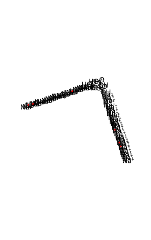 O=S(O)O.O=S(O)O.O=S(O)O.[Na+].[Na+].[Na+].[Na+].[Na+].[Na+].[Na+].[Na+].[Na+].[Na+].[Na+].[Na+].[Na+].[Na+].[Na+].[Na+].[Na+].[Na+].[Na+].[Na+].[Na+].[Na+].[Na+].[Na+].[Na+].[Na+].[Na+].[Na+].[Na+].[Na+].[Na+].[Na+].[Na+].[Na+].[Na+].[Na+].[Na+].[Na+].[Na+].[Na+].[Na+].[Na+].[Na+].[Na+].[Na+].[Na+].[Na+].[Na+].[Na+].[Na+].[Na+].[Na+].[Na+].[Na+].[Na+].[Na+].[Na+].[Na+].[Na+].[Na+].[Na+].[Na+].[Na+].[Na+].[Na+]